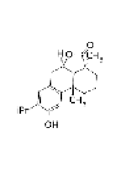 CC(C)c1cc2c(cc1O)[C@@]1(C)CCC[C@]3(C)C(=O)O[C@H](C2)C31